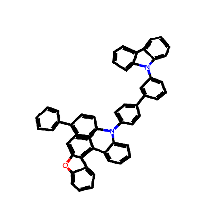 c1ccc(-c2ccc(N(c3ccc(-c4cccc(-n5c6ccccc6c6ccccc65)c4)cc3)c3ccccc3-c3cccc4oc5ccccc5c34)cc2)cc1